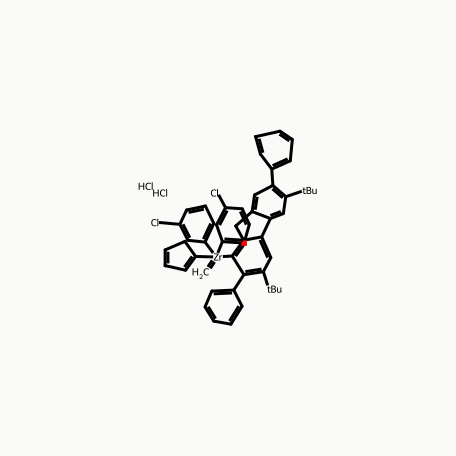 Cl.Cl.[CH2]=[Zr]([C]1=CC=CC1)([c]1cccc(Cl)c1)([c]1cccc(Cl)c1)[c]1c2c(cc(C(C)(C)C)c1-c1ccccc1)-c1cc(C(C)(C)C)c(-c3ccccc3)cc1C2